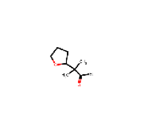 CCC(=O)C(C)(C)C1CCCO1